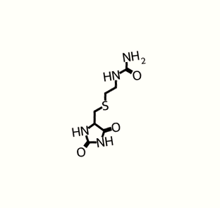 NC(=O)NCCSCC1NC(=O)NC1=O